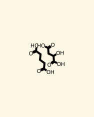 O=C(O)CC(O)C(=O)O.O=C(O)CCCC(=O)O